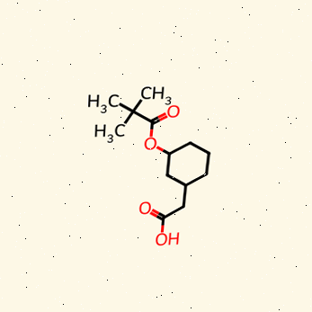 CC(C)(C)C(=O)OC1CCCC(CC(=O)O)C1